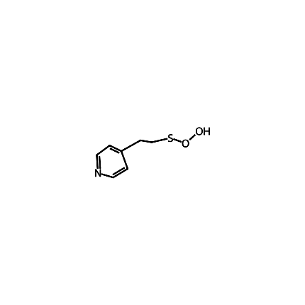 OOSCCc1ccncc1